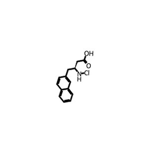 O=C(O)C[C@H](Cc1ccc2ccccc2c1)NCl